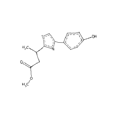 COC(=O)CC(C)c1nc(-c2ccc(O)cc2)cs1